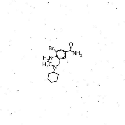 CN(Cc1cc(C(N)=O)cc(Br)c1N)C1CCCCC1